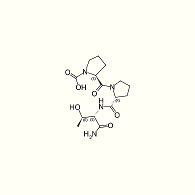 C[C@@H](O)[C@H](NC(=O)[C@H]1CCCN1C(=O)[C@@H]1CCCN1C(=O)O)C(N)=O